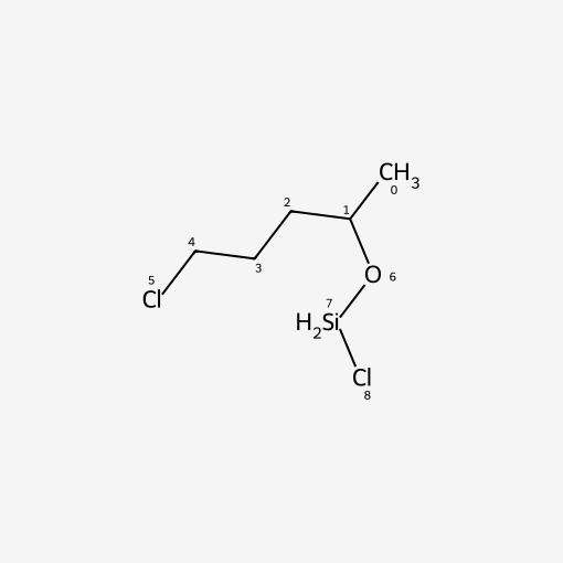 CC(CCCCl)O[SiH2]Cl